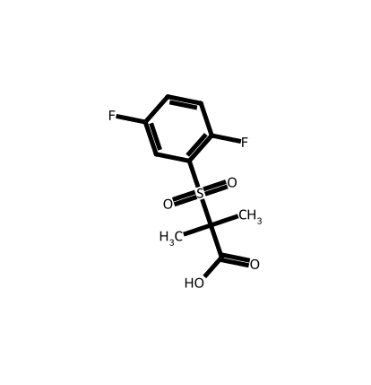 CC(C)(C(=O)O)S(=O)(=O)c1cc(F)ccc1F